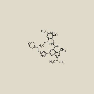 CCCc1cc(C)[nH]c(=O)c1CNC(=O)c1cc(-c2cnn(CCN3CCOCC3)c2)cc2c1c(C)cn2C(C)C